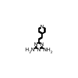 Nc1nc(N)nc(/C=C/c2ccncc2)n1